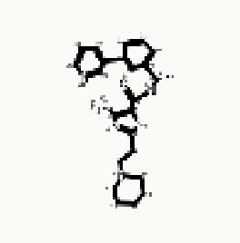 C[C@H](NC(=O)c1sc(CCN2CCCCC2)nc1C(F)(F)F)c1cccc(-c2cccnc2)c1